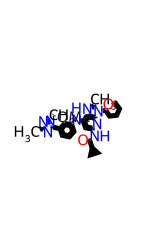 COc1c(Nc2cc(NC(=O)C3CC3)nc3c2nc(C)n3C2CCCCO2)cccc1-c1nc(C)nn1C